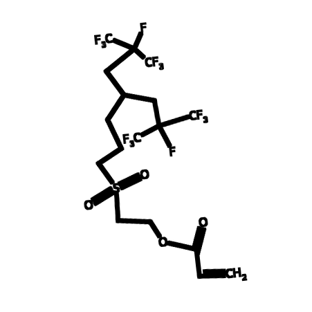 C=CC(=O)OCCS(=O)(=O)CCCC(CC(F)(C(F)(F)F)C(F)(F)F)CC(F)(C(F)(F)F)C(F)(F)F